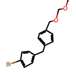 COCOCc1ccc(Cc2ccc(Br)cc2)cc1